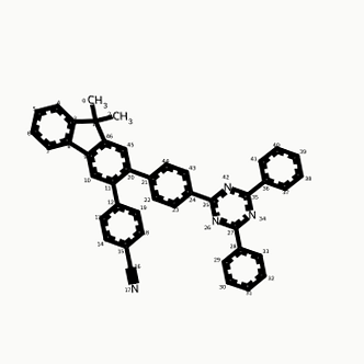 CC1(C)c2ccccc2-c2cc(-c3ccc(C#N)cc3)c(-c3ccc(-c4nc(-c5ccccc5)nc(-c5ccccc5)n4)cc3)cc21